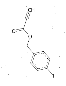 C#CC(=O)OCc1ccc(I)cc1